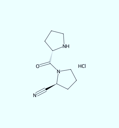 Cl.N#C[C@@H]1CCCN1C(=O)[C@@H]1CCCN1